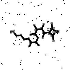 CC(C)CCCCC(C)C(C)CC(C)C(C)C(C)C(C)C1C(C)NC1C